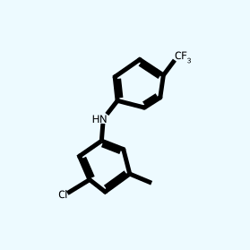 Cc1cc(Cl)cc(Nc2ccc(C(F)(F)F)cc2)c1